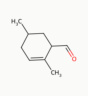 CC1=CCC(C)CC1C=O